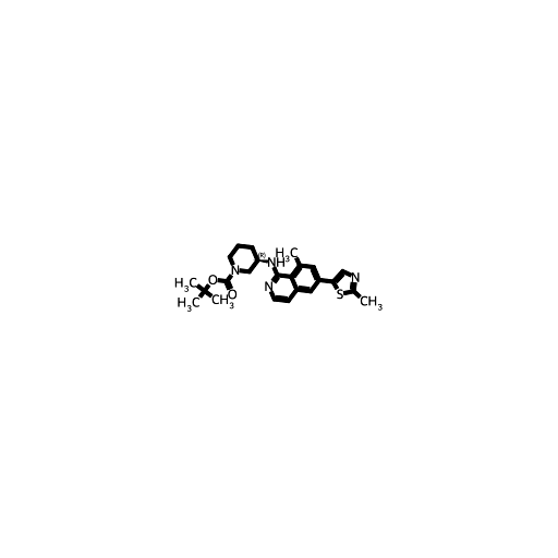 Cc1ncc(-c2cc(C)c3c(N[C@@H]4CCCN(C(=O)OC(C)(C)C)C4)nccc3c2)s1